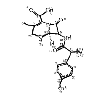 CC1=C(C(=O)O)N2C(=O)C(NC(=O)C(N)c3ccc(O)cc3)[C@H]2SC1